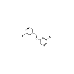 Fc1cccc(COc2cncc(Br)n2)c1